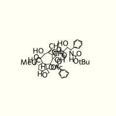 CO[C@H]1C[C@H]2OC[C@@]2(OC(C)=O)[C@H]2[C@H](OC(=O)c3ccccc3)[C@]3(O)C[C@H](OC(=O)[C@H](O)[C@@H](NC(=O)OC(C)(C)C)c4ccccc4)C(C)=C([C@@H](O)C(=O)[C@]12C)C3(C)C